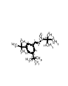 CC(C)(C)c1cc(/C=N/[S@+]([O-])C(C)(C)C)cc(C(C)(C)C)c1